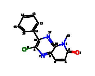 Cn1c(=O)ccc2nc(Cl)c(-c3ccccc3)nc21